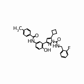 Cc1ccc(C(=O)Nc2ccc(O)c(-c3cc(C4CCC4)n(C(=O)NCc4ccccc4F)n3)c2)cc1